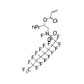 C=CC(=O)OC(CCC)CN(F)S(=O)(=O)C(F)(F)C(F)(F)C(F)(F)C(F)(F)C(F)(F)C(F)(F)C(F)(F)C(F)(F)F